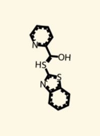 OC(=[SH]c1nc2ccccc2s1)c1ccccn1